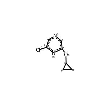 Clc1cncc(OC2CC2)n1